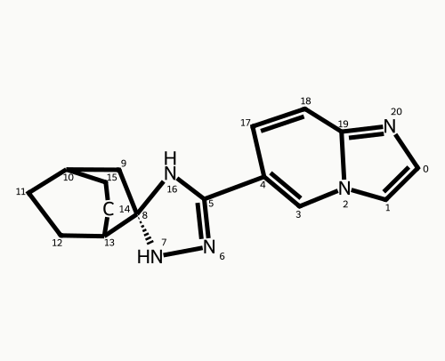 c1cn2cc(C3=NN[C@]4(CC5CCC4CC5)N3)ccc2n1